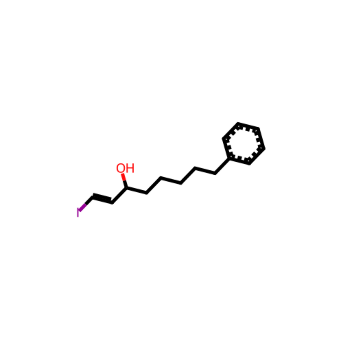 OC(C=CI)CCCCCc1ccccc1